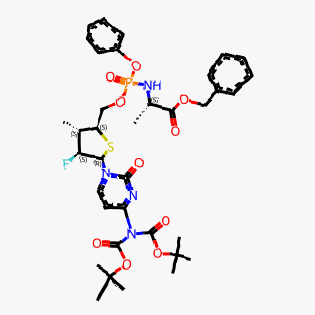 C[C@H]1[C@H](F)[C@H](n2ccc(N(C(=O)OC(C)(C)C)C(=O)OC(C)(C)C)nc2=O)S[C@@H]1COP(=O)(N[C@@H](C)C(=O)OCc1ccccc1)Oc1ccccc1